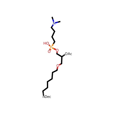 CCCCCCCCCCCCCCCCOCC(COP(=O)(O)CCCCN(C)C)OC(C)=O